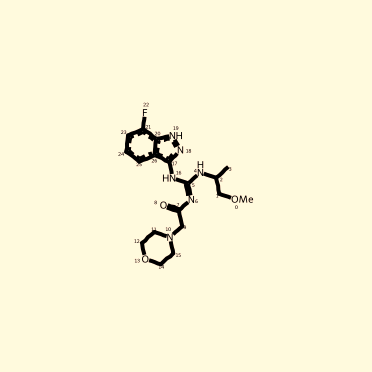 COCC(C)N/C(=N/C(=O)CN1CCOCC1)Nc1n[nH]c2c(F)cccc12